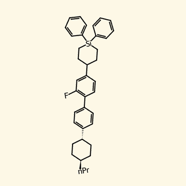 CCC[C@H]1CC[C@H](c2ccc(-c3ccc(C4CC[Si](c5ccccc5)(c5ccccc5)CC4)cc3F)cc2)CC1